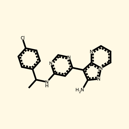 CC(Nc1cc(-c2c(N)nn3cccnc23)ncn1)c1ccc(Cl)cc1